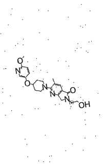 COc1ccc(OC2CCN(c3nc4c(cc3C)C(=O)N([C@@H](C)CO)C4)CC2)cn1